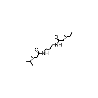 CCSCC(=O)NCCCNC(=O)CSC(C)C